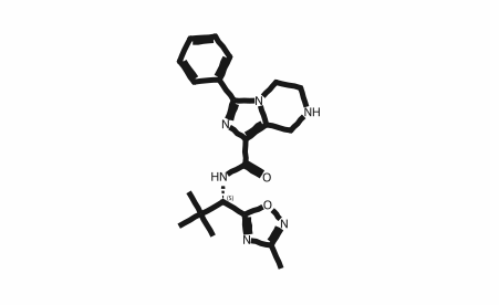 Cc1noc([C@@H](NC(=O)c2nc(-c3ccccc3)n3c2CNCC3)C(C)(C)C)n1